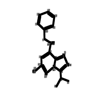 CC(C)c1nnc2c(NCc3ccccc3)cc(Cl)nn12